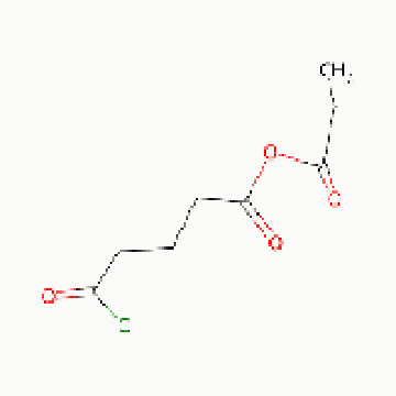 CCC(=O)OC(=O)CCCC(=O)Cl